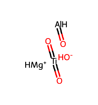 [MgH+].[OH-].[O]=[AlH].[O]=[Ti]=[O]